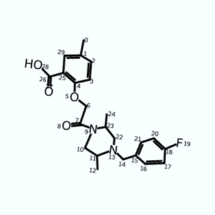 Cc1ccc(OCC(=O)N2CC(C)N(Cc3ccc(F)cc3)CC2C)c(C(=O)O)c1